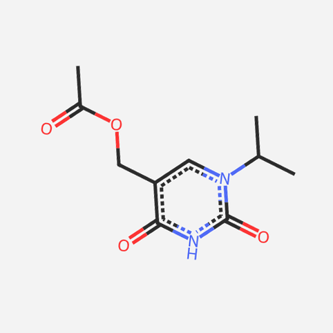 CC(=O)OCc1cn(C(C)C)c(=O)[nH]c1=O